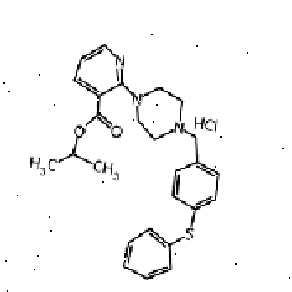 CC(C)OC(=O)c1cccnc1N1CCN(Cc2ccc(Sc3ccccc3)cc2)CC1.Cl